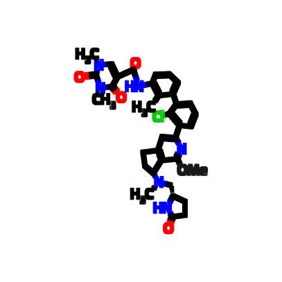 COc1nc(-c2cccc(-c3cccc(NC(=O)c4cn(C)c(=O)n(C)c4=O)c3C)c2Cl)cc2c1[C@@H](N(C)C[C@@H]1CCC(=O)N1)CC2